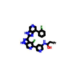 CC(C)CC(O)Nc1cncc(-c2ncc3[nH]nc(-c4nc5c(-c6ccccc6F)cncc5[nH]4)c3c2F)c1